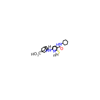 CCCSc1nc(N[C@H]2C3CC4C[C@](C(=O)O)(C3)CC42)ccc1C(=O)NC1CCCCC1